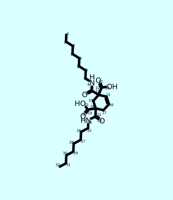 CCCCCCCCNC(=O)C1(C(=O)O)C=CCC(C(=O)O)(C(=O)NCCCCCCCC)C1